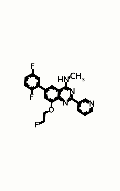 CNc1nc(-c2cccnc2)nc2c(OCCF)cc(-c3cc(F)ccc3F)cc12